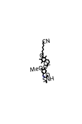 C=c1[nH]c(=O)/c(=C\c2ccc(OC[C@]3(C)CCc4c(C)c(OCCCCCCC#N)c(C)c(C)c4O3)c(OC)c2)s1